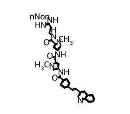 CCCCCCCCCNC(=N)CCNC(=O)c1cc(NC(=O)c2cc(NC(=O)c3ccc(/C=C/c4cnc5ccccc5c4)cc3)cn2C)cn1C